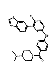 CC(C)N1CCN(C(=O)c2ccc(Nc3ncc(F)c(-c4ccc5ncsc5c4)n3)nc2)CC1